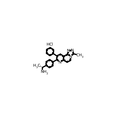 Cc1nnc2c3cc(-c4ccccc4)c(-c4ccc([C@@H](C)N)cc4)nc3ccn12.Cl